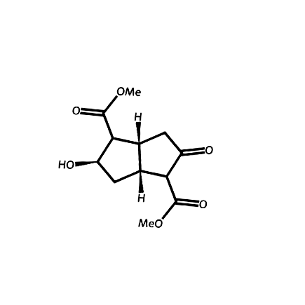 COC(=O)C1C(=O)C[C@H]2C(C(=O)OC)[C@H](O)C[C@@H]12